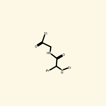 CCNC(C(=O)NCC(=O)CC)C(C)C